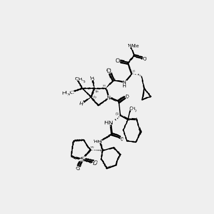 CNC(=O)C(=O)[C@H](CC1CC1)NC(=O)[C@@H]1[C@@H]2[C@H](CN1C(=O)[C@@H](NC(=O)NC1([C@H]3CCCS3(=O)=O)CCCCC1)C1(C)CCCCC1)C2(C)C